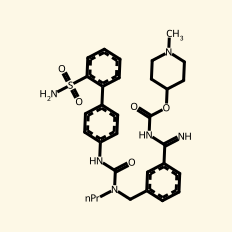 CCCN(Cc1cccc(C(=N)NC(=O)OC2CCN(C)CC2)c1)C(=O)Nc1ccc(-c2ccccc2S(N)(=O)=O)cc1